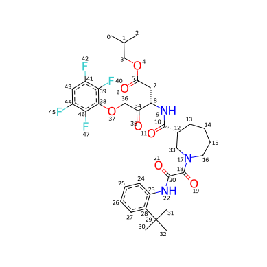 CC(C)COC(=O)C[C@H](NC(=O)[C@@H]1CCCCN(C(=O)C(=O)Nc2ccccc2C(C)(C)C)C1)C(=O)COc1c(F)c(F)cc(F)c1F